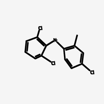 Cc1cc(Cl)ccc1[N]c1c(Cl)cccc1Cl